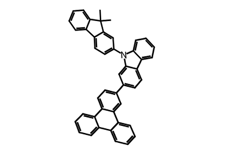 CC1(C)c2ccccc2-c2ccc(-n3c4ccccc4c4ccc(-c5ccc6c7ccccc7c7ccccc7c6c5)cc43)cc21